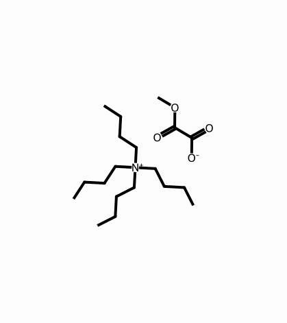 CCCC[N+](CCCC)(CCCC)CCCC.COC(=O)C(=O)[O-]